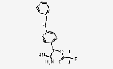 N=C(N)N(OC(=O)C(F)(F)F)c1ccc(OCc2ccccc2)cc1